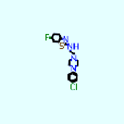 Fc1ccc2nc(NCCN3CCN(c4ccc(Cl)cc4)CC3)sc2c1